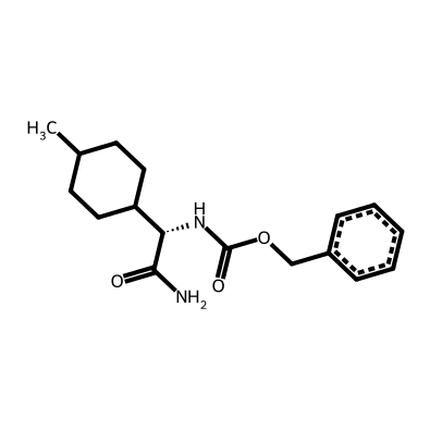 CC1CCC([C@H](NC(=O)OCc2ccccc2)C(N)=O)CC1